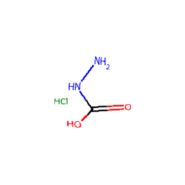 Cl.NNC(=O)O